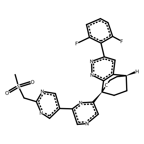 CS(=O)(=O)Cc1ncc(-c2cncc([C@@]34CCC[C@@H](CC3)c3cc(-c5c(F)cccc5F)nnc34)n2)cn1